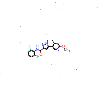 Cc1cc(OC(F)(F)F)ncc1-c1cc(C(=O)Nc2c(F)cccc2F)nn1C